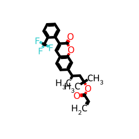 C=CC(=O)OC(C)(C)CC(C)c1ccc2cc(-c3ccccc3C(F)(F)F)c(=O)oc2c1